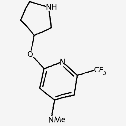 CNc1cc(OC2CCNC2)nc(C(F)(F)F)c1